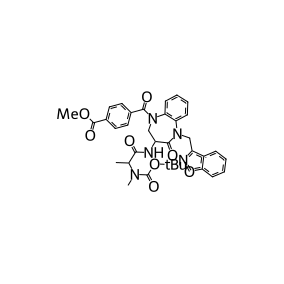 COC(=O)c1ccc(C(=O)N2CC(NC(=O)C(C)N(C)C(=O)OC(C)(C)C)C(=O)N(Cc3noc4ccccc34)c3ccccc32)cc1